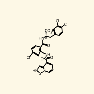 O=C(N[C@H](Cc1ccc(Cl)c(Cl)c1)C(=O)O)c1ccc(Cl)cc1NS(=O)(=O)C1=CC=CN2SNC=C12